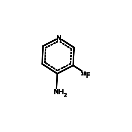 Nc1ccncc1[18F]